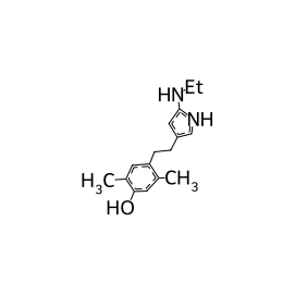 CCNc1cc(CCc2cc(C)c(O)cc2C)c[nH]1